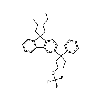 CCCCC1(CCC)c2ccccc2-c2cc3c(cc21)-c1ccccc1C3(CC)CCOC(F)(F)F